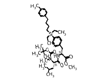 CC[Si](CC)(CCCCc1ccc(C)cc1)c1ccc(C[C@H](NC(=O)[C@H](CC(C)C)N(C)C(=O)OC(C)(C)C)C(=O)OC)cc1